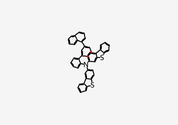 c1cc(-c2ccccc2N(c2ccc3c(c2)sc2ccccc23)c2ccc3sc4ccccc4c3c2)cc(-c2cccc3ccccc23)c1